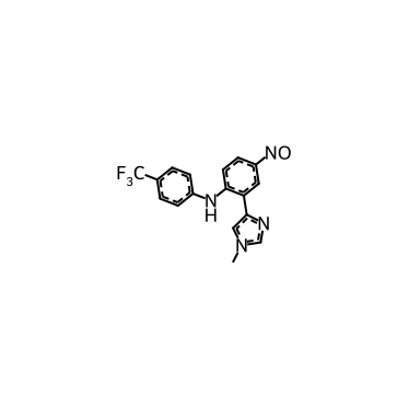 Cn1cnc(-c2cc(N=O)ccc2Nc2ccc(C(F)(F)F)cc2)c1